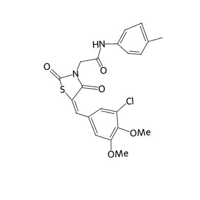 COc1cc(C=C2SC(=O)N(CC(=O)Nc3ccc(C)cc3)C2=O)cc(Cl)c1OC